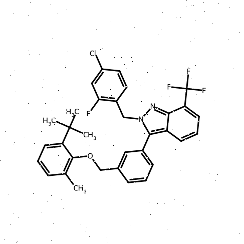 Cc1cccc(C(C)(C)C)c1OCc1cccc(-c2c3cccc(C(F)(F)F)c3nn2Cc2ccc(Cl)cc2F)c1